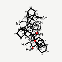 CCO[Si](OCC)(OCC)C1(S(S)(SS)SSS(CCC2CC3CCC2C3)(SS(S)(SS)C2([Si](OCC)(OCC)OCC)CC3CCC2(CC)C3)C2([Si](OCC)(OCC)OCC)CC3CCC2(CC)C3)CC2CCC1(CC)C2